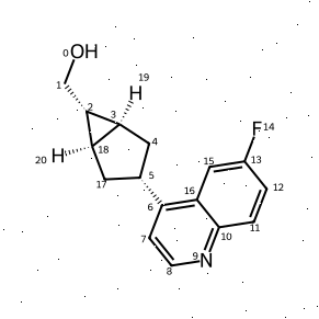 OC[C@@H]1[C@H]2C[C@H](c3ccnc4ccc(F)cc34)C[C@@H]12